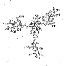 CCCC[C@@H](C)[C@H]1CC[C@H]2[C@@H]3[C@H](OCCO[C@@H]4OC(CO)[C@@H](O[C@H]5OC(CO)[C@@H](O)C(O)[C@@H]5O)C(O)[C@@H]4O)C[C@@H]4C[C@H](OCCO[C@@H]5OC(CO)[C@@H](O[C@H]6OC(CO)[C@@H](O)C(O)[C@@H]6O)C(O)[C@@H]5O)CC[C@]4(C)[C@H]3C[C@H](OCCO[C@@H]3OC(CO)[C@@H](O[C@H]4OC(CO)[C@@H](O)[C@H](O)C4O)C(O)[C@@H]3O)[C@]12C